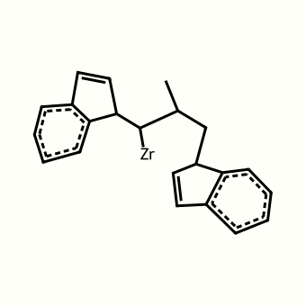 CC(CC1C=Cc2ccccc21)[CH]([Zr])C1C=Cc2ccccc21